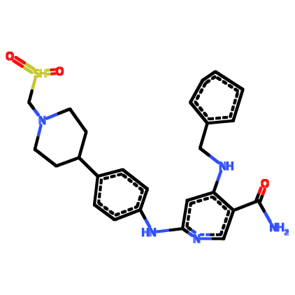 NC(=O)c1cnc(Nc2ccc(C3CCN(C[SH](=O)=O)CC3)cc2)cc1NCc1ccccc1